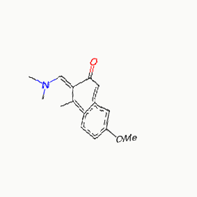 COc1ccc2c(c1)=CC(=O)C(=CN(C)C)C=2C